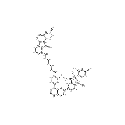 COc1cc(-c2ccnc3ccc(-c4cnc(OC)c(NS(=O)(=O)c5ccc(F)cc5F)c4)cc23)ccc1OCCCCCNc1cccc2c1C(=O)N(C1CCC(=O)NC1=O)C2=O